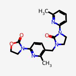 Cc1cccc(N2CCN(Cc3ccc(N4CCOC4=O)nc3C)C2=O)n1